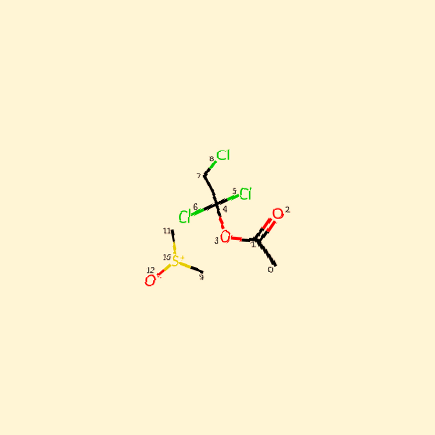 CC(=O)OC(Cl)(Cl)CCl.C[S+](C)[O-]